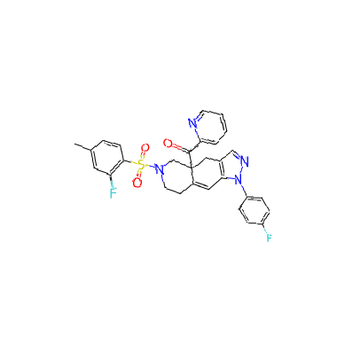 Cc1ccc(S(=O)(=O)N2CCC3=Cc4c(cnn4-c4ccc(F)cc4)CC3(C(=O)c3ccccn3)C2)c(F)c1